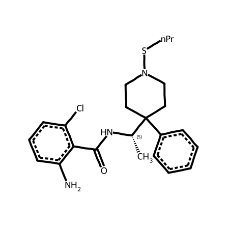 CCCSN1CCC(c2ccccc2)([C@H](C)NC(=O)c2c(N)cccc2Cl)CC1